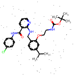 CC(C)c1ccc(CNc2ncccc2C(=O)Nc2ccc(Cl)cc2)c(OCCNC(=O)OC(C)(C)C)c1